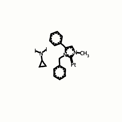 Cn1cc(-c2ccccc2)n(Cc2ccccc2)[c]1=[Pt].IN(I)C1CC1